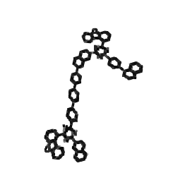 c1ccc2cc(-c3nc(-c4ccc(-c5ccc(-c6ccc(-c7ccc8ccc(-c9nc(-c%10ccc(-c%11cccc%12ccccc%11%12)cc%10)nc(-c%10cccc%11oc%12ccccc%12c%10%11)n9)cc8c7)cc6)cc5)cc4)nc(-c4cccc5oc6ccccc6c45)n3)ccc2c1